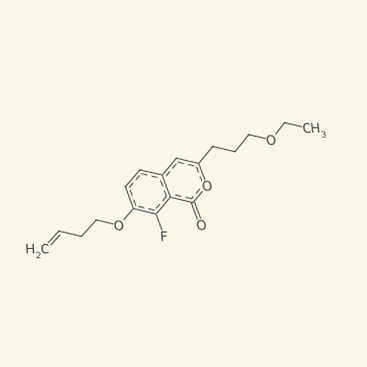 C=CCCOc1ccc2cc(CCCOCC)oc(=O)c2c1F